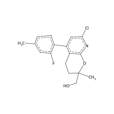 Cc1ccc(-c2cc(Cl)nc3c2CCC(C)(CO)O3)c(F)c1